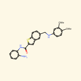 COc1ccc(NCc2ccc3sc(C(=O)Nc4ccccc4N)cc3c2)cc1OC